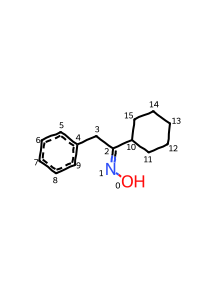 ON=C(Cc1ccccc1)C1CCCCC1